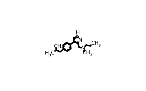 CCCN(C)Cc1n[nH]cc1-c1ccc(CC(C)C)cc1